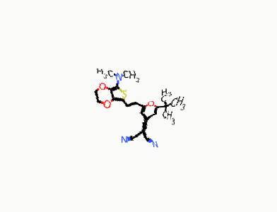 CN(C)c1sc(C=CC2=CC(=C(C#N)C#N)C=C(C(C)(C)C)O2)c2c1OCCO2